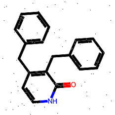 O=c1[nH]ccc(Cc2ccccc2)c1Cc1ccccc1